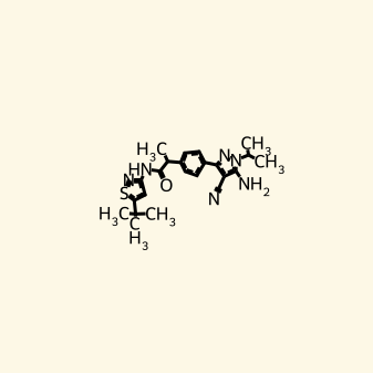 CC(C(=O)Nc1cc(C(C)(C)C)sn1)c1ccc(-c2nn(C(C)C)c(N)c2C#N)cc1